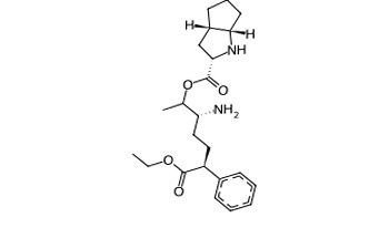 CCOC(=O)[C@@H](CC[C@@H](N)C(C)OC(=O)[C@@H]1C[C@@H]2CCC[C@@H]2N1)c1ccccc1